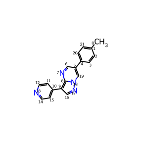 Cc1ccc(-c2cnc3c(-c4ccncc4)cnn3c2)cc1